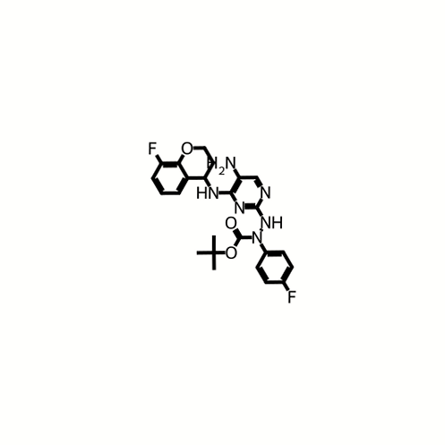 CC(C)(C)OC(=O)N(Nc1ncc(N)c(NC2CCOc3c(F)cccc32)n1)c1ccc(F)cc1